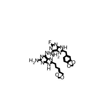 Nc1nc(F)nc2[nH]c(Cc3ccc4c(c3)OCO4)nc12.Nc1nc(N)c2nc(CCC=C3COCO3)[nH]c2n1